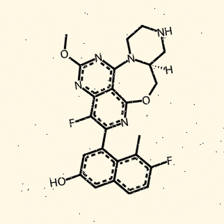 COc1nc2c3c(nc(-c4cc(O)cc5ccc(F)c(C)c45)c(F)c3n1)OC[C@@H]1CNCCN21